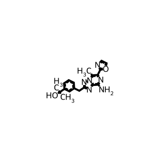 Cc1c(-c2ncco2)nc(N)c2nc(Cc3cccc(C(C)(C)O)c3)nn12